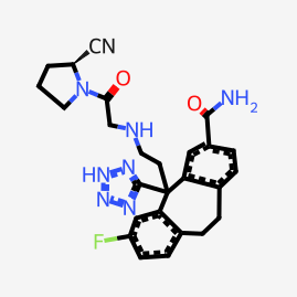 N#C[C@@H]1CCCN1C(=O)CNCCC1(c2nn[nH]n2)c2cc(F)ccc2CCc2ccc(C(N)=O)cc21